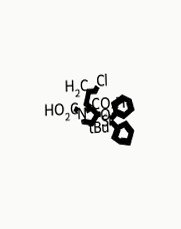 C=C(CCl)CC1(C(=O)O)C(O[Si](c2ccccc2)(c2ccccc2)C(C)(C)C)CCN1C(=O)O